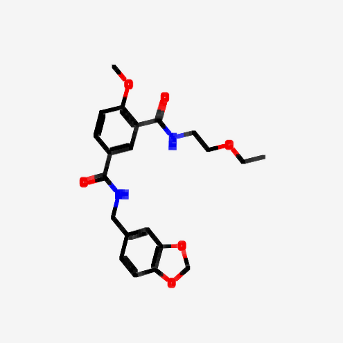 CCOCCNC(=O)c1cc(C(=O)NCc2ccc3c(c2)OCO3)ccc1OC